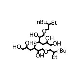 CCCCC(CC)COCC(O)C(CC(O)CO)SC(CC(O)CO)C(O)COCC(CC)CCCC